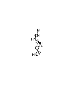 COc1cc([C@@H]2CNCCO2)ccc1-c1cc(Nc2cnc(C#N)cn2)n[nH]1